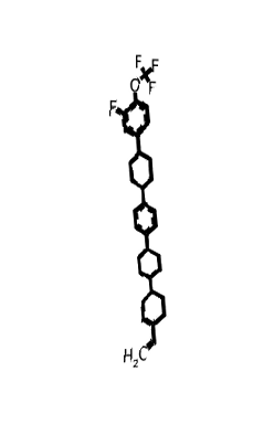 C=CC1CCC(C2CCC(c3ccc(C4CCC(c5ccc(OC(F)(F)F)c(F)c5)CC4)cc3)CC2)CC1